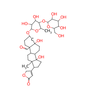 CC1OC(OC2CCC3(C=O)C4CCC5(C)C(C6=CC(=O)OC6)CCC5(O)C4CCC3(O)C2)C(O)C(O)C1OC1OC(CO)C(O)C(O)C1O